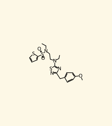 CCN(CCN(CC)S(=O)(=O)c1cccs1)c1nc(Cc2ccc(OC)cc2)ns1